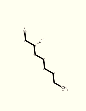 CCCCCC[C@@H](F)CBr